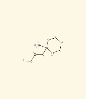 CCOCC1([SiH3])CCCCO1